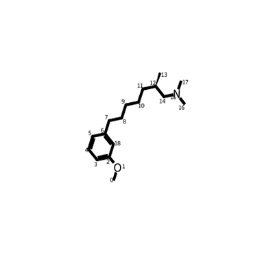 COc1cccc(CCCCC[C@@H](C)CN(C)C)c1